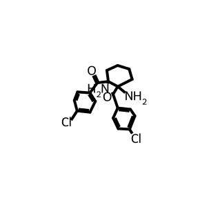 NC1(C(=O)c2ccc(Cl)cc2)CCCCC1(N)C(=O)c1ccc(Cl)cc1